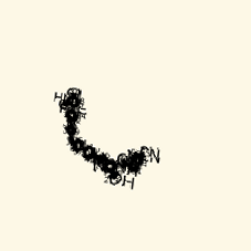 CC(C)(O)c1cc2nn(C3CCC(C4CCN(CC5CN(c6cc(F)c([C@H]7CCC(=O)NC7=O)c(F)c6)C5)CC4)CC3)cc2cc1NC(=O)c1ccc2cc(C#N)cnn12